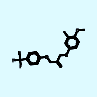 C=C(COc1ccc(C(F)(F)F)cc1)CSc1ccc(OC)c(C)c1